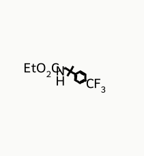 CCOC(=O)NCC(C)(C)c1ccc(C(F)(F)F)cc1